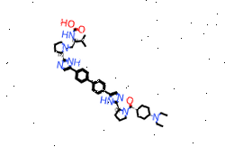 CCN(CC)[C@H]1CC[C@@H](C(=O)N2CCC[C@H]2c2ncc(-c3ccc(-c4ccc(-c5cnc([C@@H]6CCCN6C[C@@H](NC(=O)O)C(C)C)[nH]5)cc4)cc3)[nH]2)CC1